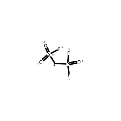 O=P(F)(F)CS(=O)(=O)F